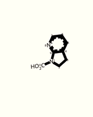 O=C(O)N1CCc2cccnc21